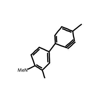 CNc1ccc(-c2c#cc(C)cc2)cc1C